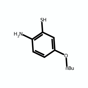 CCCCOc1ccc(N)c(S)c1